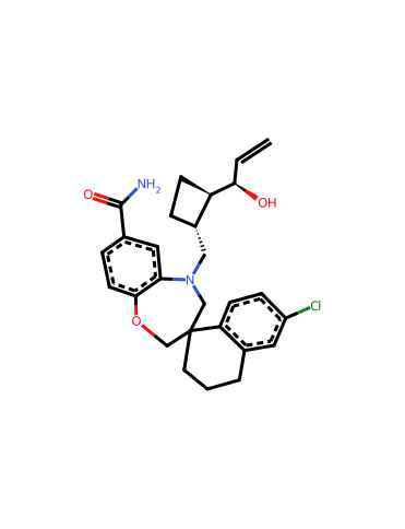 C=C[C@@H](O)[C@@H]1CC[C@H]1CN1CC2(CCCc3cc(Cl)ccc32)COc2ccc(C(N)=O)cc21